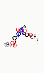 CC(C)(C)OC(=O)Cc1cccc(N2CCC3(CC2)C(=O)N(CC2CC2)C(=O)N3Cc2ccc(OC(F)(F)F)cc2)c1